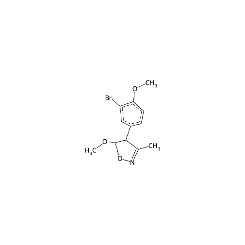 COc1ccc(C2C(C)=NOC2OC)cc1Br